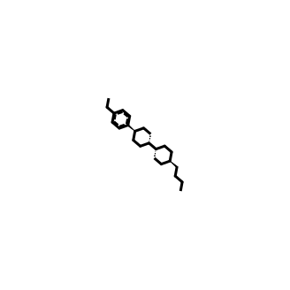 CCCC[C@H]1CC[C@H]([C@H]2CC[C@H](c3ccc(CC)cc3)CC2)CC1